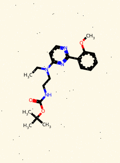 CCN(CCNC(=O)OC(C)(C)C)c1ccnc(-c2ccccc2OC)n1